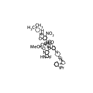 CO[C@H](C)COc1nc2[nH]cc(F)c2cc1Oc1cc(N2CCC3(CC2)CN([C@@H]2CCC[C@@H]2c2ccccc2C(C)C)C3)ccc1C(=O)NS(=O)(=O)c1cc2c(c([N+](=O)[O-])c1)N[C@@H](C1CCC(C)(C)CC1)CO2